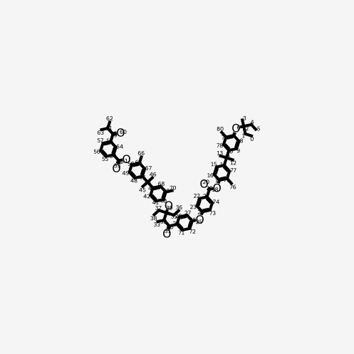 CCC(C)(CC)Oc1ccc(C(C)(C)c2ccc(OC(=O)c3ccc(Oc4ccc(C(=O)C(C)C(CC)(CC)Oc5ccc(C(C)(C)c6ccc(OC(=O)c7cccc(C(=O)C(C)C)c7)c(C)c6)cc5C)cc4)cc3)c(C)c2)cc1C